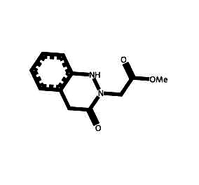 COC(=O)CN1Nc2ccccc2CC1=O